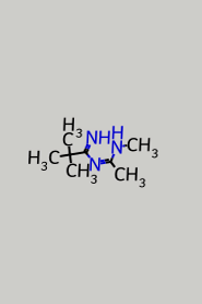 CN/C(C)=N\C(=N)C(C)(C)C